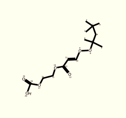 CC(C)(C)CC(C)(C)OOC=CC(=O)OCCOC(=O)O